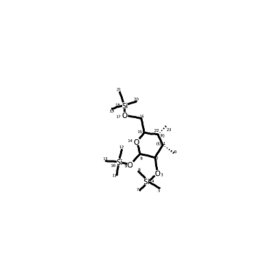 C[C@@H]1C(O[Si](C)(C)C)C(O[Si](C)(C)C)OC(CO[Si](C)(C)C)[C@@H]1C